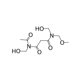 COCN(CO)C(=O)CC(=O)N(CO)C(C)=O